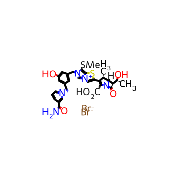 CSc1c2sc(C3=C(C(=O)O)N4C(=O)[C@H]([C@@H](C)O)[C@H]4[C@H]3C)c[n+]2cn1Cc1cc(O)cc(C[n+]2cccc(C(N)=O)c2)c1.[Br-].[Br-]